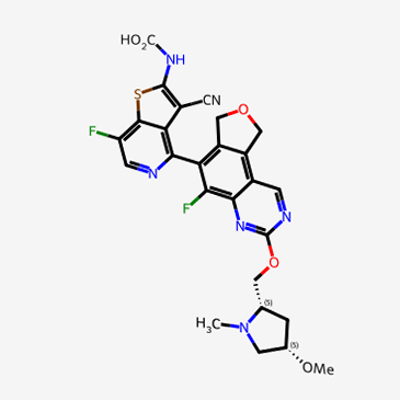 CO[C@H]1C[C@@H](COc2ncc3c4c(c(-c5ncc(F)c6sc(NC(=O)O)c(C#N)c56)c(F)c3n2)COC4)N(C)C1